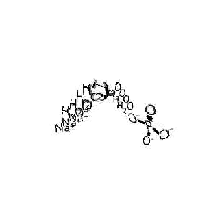 O.O.O.O.O.O.O.O.O=P([O-])([O-])[O-].[Na+].[Na+].[Na+]